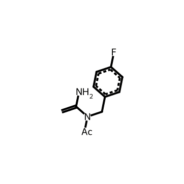 C=C(N)N(Cc1ccc(F)cc1)C(C)=O